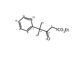 CCOC(=O)CC(=O)C(C)(C)c1ccccn1